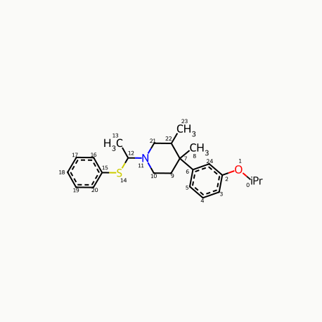 CC(C)Oc1cccc(C2(C)CCN(C(C)Sc3ccccc3)CC2C)c1